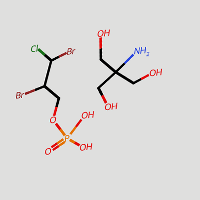 NC(CO)(CO)CO.O=P(O)(O)OCC(Br)C(Cl)Br